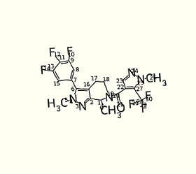 C[C@H]1c2nn(C)c(-c3cc(F)c(F)c(F)c3)c2CCN1C(=O)c1cnn(C)c1C(F)(F)F